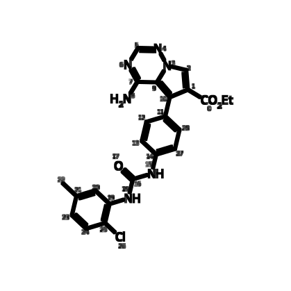 CCOC(=O)c1cn2ncnc(N)c2c1-c1ccc(NC(=O)Nc2cc(C)ccc2Cl)cc1